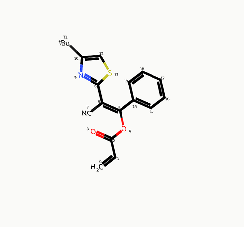 C=CC(=O)OC(=C(C#N)c1nc(C(C)(C)C)cs1)c1ccccc1